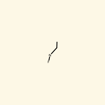 CC[N]F